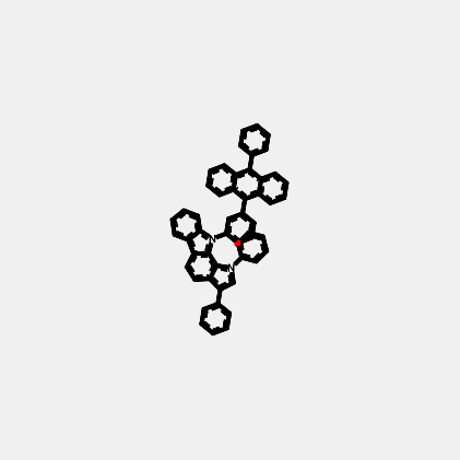 c1ccc(-c2c3ccccc3c(-c3cccc(-n4c5ccccc5c5ccc6c(-c7ccccc7)cn(-c7ccccc7)c6c54)c3)c3ccccc23)cc1